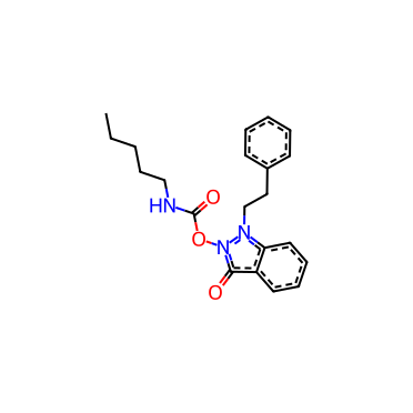 CCCCCNC(=O)On1c(=O)c2ccccc2n1CCc1ccccc1